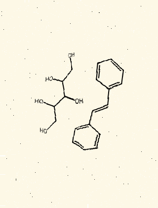 C(=Cc1ccccc1)c1ccccc1.OCC(O)C(O)C(O)CO